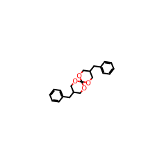 c1ccc(CC2COC3(OC2)OCC(Cc2ccccc2)CO3)cc1